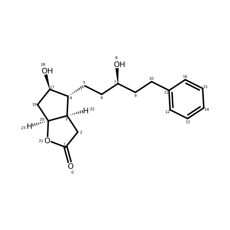 O=C1C[C@@H]2[C@@H](CC[C@@H](O)CCc3ccccc3)[C@H](O)C[C@@H]2O1